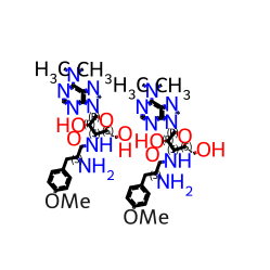 COc1ccc(C[C@H](N)C(=O)N[C@H]2[C@@H](O)[C@H](n3cnc4c(N(C)C)ncnc43)O[C@@H]2CO)cc1.COc1ccc(C[C@H](N)C(=O)N[C@H]2[C@@H](O)[C@H](n3cnc4c(N(C)C)ncnc43)O[C@@H]2CO)cc1